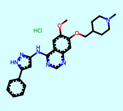 COc1cc2c(Nc3cc(-c4ccccc4)[nH]n3)ncnc2cc1OCC1CCN(C)CC1.Cl